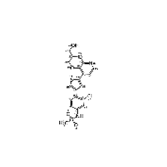 CS(=O)(=O)Nc1ccc(-c2csc(-c3ccnc4c3OCC(CO)O4)c2)c(Cl)c1